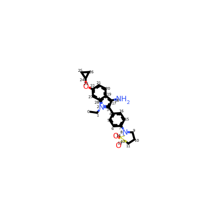 CCn1c(-c2ccc(N3CCCS3(=O)=O)cc2)c(N)c2ccc(OC3CC3)cc21